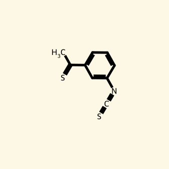 CC(=S)c1cccc(N=C=S)c1